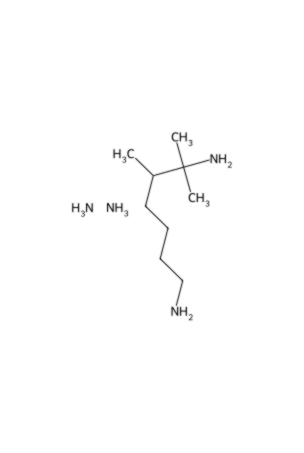 CC(CCCCN)C(C)(C)N.N.N